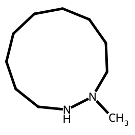 CN1CCCCCCCCCN1